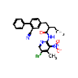 CCC(Cc1ccc(-c2ccccc2)c(C#N)c1)C(=O)Nc1ncc(Br)c(C)c1[N+](=O)[O-]